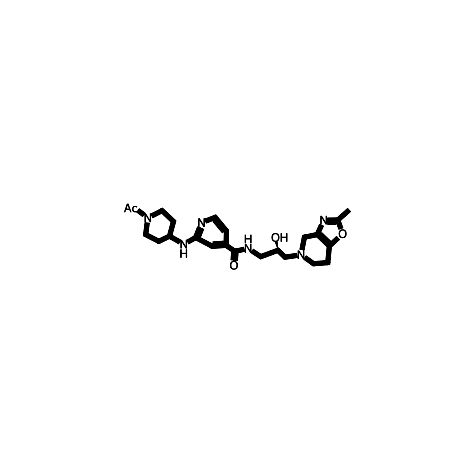 CC(=O)N1CCC(Nc2cc(C(=O)NC[C@H](O)CN3CCc4oc(C)nc4C3)ccn2)CC1